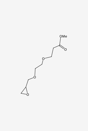 COC(=O)CCOCCOCC1CO1